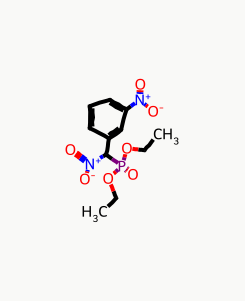 CCOP(=O)(OCC)C(c1cccc([N+](=O)[O-])c1)[N+](=O)[O-]